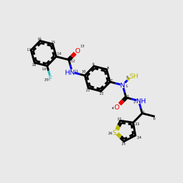 CC(NC(=O)N(S)c1ccc(NC(=O)c2ccccc2F)cc1)c1ccsc1